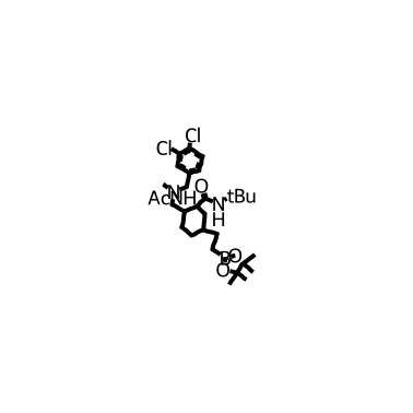 CC(=O)NC1(C(=O)NC(C)(C)C)CC(CCB2OC(C)(C)C(C)(C)O2)CCC1CN(C)Cc1ccc(Cl)c(Cl)c1